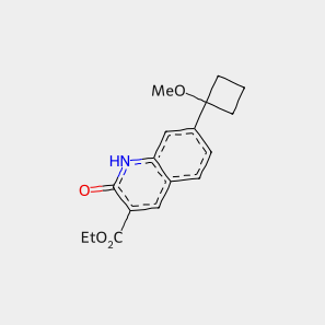 CCOC(=O)c1cc2ccc(C3(OC)CCC3)cc2[nH]c1=O